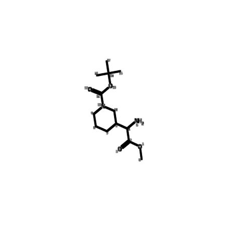 COC(=O)C(N)C1CCCN(C(=O)OC(C)(C)C)C1